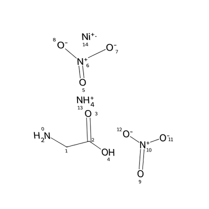 NCC(=O)O.O=[N+]([O-])[O-].O=[N+]([O-])[O-].[NH4+].[Ni+]